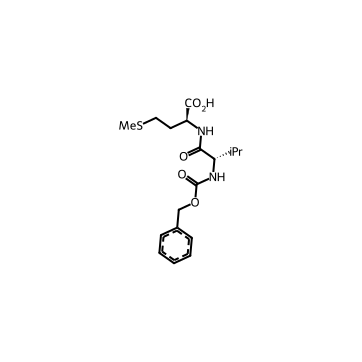 CSCC[C@H](NC(=O)[C@@H](NC(=O)OCc1ccccc1)C(C)C)C(=O)O